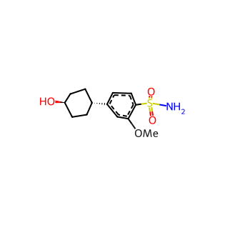 COc1cc([C@H]2CC[C@H](O)CC2)ccc1S(N)(=O)=O